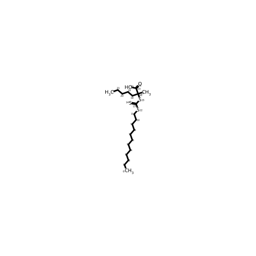 CCCCCCCCCCCCSC(=S)SC(C)(CCCCC)C(=O)O